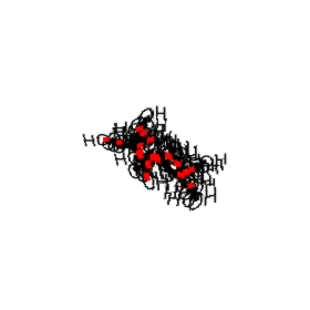 CC1(N(COC=O)CC(=O)O)CN(C(CCC(=O)NCC(CCC(=O)C(O)C(O)C(O)C(O)CO)(CNC(=O)C(O)C(O)C(O)C(O)CO)CNC(=O)C(O)C(O)C(O)C(O)CO)OC=O)CCN(C(CCC(=O)CC(CNC(=O)C(O)C(O)C(O)C(O)CO)(CNC(=O)C(O)C(O)C(O)C(O)CO)CNC(=O)C(O)C(O)C(O)C(O)CO)C(=O)O)C1